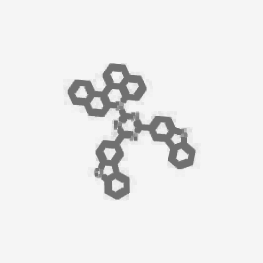 c1ccc2c3c(ccc2c1)N(c1nc(-c2ccc4oc5ccccc5c4c2)nc(-c2ccc4sc5ccccc5c4c2)n1)c1cccc2cccc-3c12